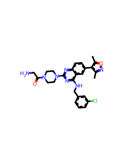 Cc1noc(C)c1-c1ccc2nc(N3CCN(C(=O)CN)CC3)nc(NCc3cccc(Cl)c3)c2c1